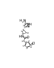 Nc1cc([C@H]2C[C@@H](NC(=O)Cc3cccc(Cl)c3)C2)n[nH]1